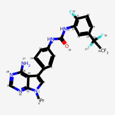 CC(C)n1cc(-c2ccc(NC(=O)Nc3cc(C(F)(F)C(F)(F)F)ccc3F)cc2)c2c(N)ncnc21